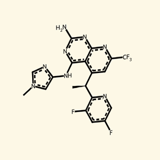 C[C@H](c1ncc(F)cc1F)c1cc(C(F)(F)F)nc2nc(N)nc(Nc3cn(C)cn3)c12